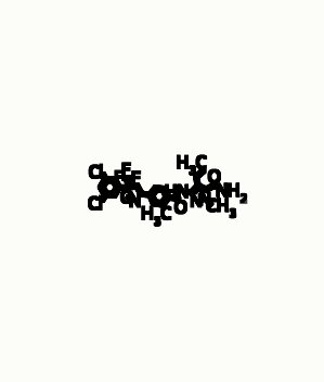 CCCc1c(NC(=O)c2ccc(C3=NOC(c4cc(Cl)cc(Cl)c4)(C(F)(F)F)C3)cc2C)nn(C)c1C(N)=O